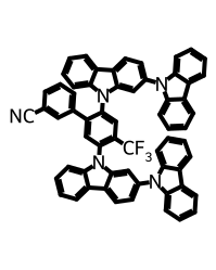 N#Cc1cccc(-c2cc(-n3c4ccccc4c4ccc(-n5c6ccccc6c6ccccc65)cc43)c(C(F)(F)F)cc2-n2c3ccccc3c3ccc(-n4c5ccccc5c5ccccc54)cc32)c1